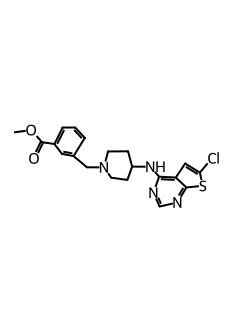 COC(=O)c1cccc(CN2CCC(Nc3ncnc4sc(Cl)cc34)CC2)c1